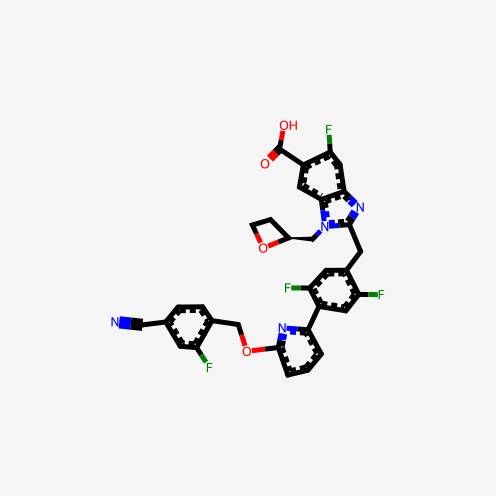 N#Cc1ccc(COc2cccc(-c3cc(F)c(Cc4nc5cc(F)c(C(=O)O)cc5n4C[C@@H]4CCO4)cc3F)n2)c(F)c1